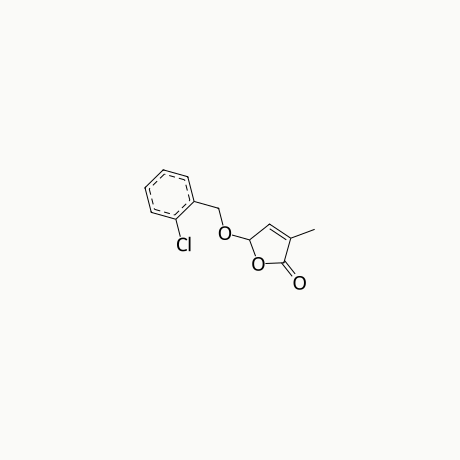 CC1=CC(OCc2ccccc2Cl)OC1=O